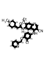 CCOc1cc2ncc(C#N)c(Nc3ccc(OCc4ccccn4)c(Cl)c3)c2cc1NC(=O)C=C1CCN(C)CC1